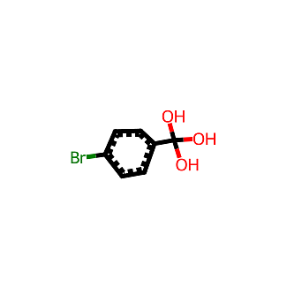 OC(O)(O)c1ccc(Br)cc1